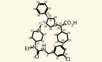 CCN(C(=O)NCc1cccc(Cl)c1)C1CCN(C[C@H]2CN([C@@H](C(=O)O)C3CCCCC3)C[C@@H]2c2ccccc2)CC1